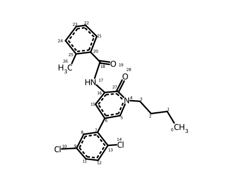 CCCCn1cc(-c2cc(Cl)ccc2Cl)cc(NC(=O)c2ccccc2C)c1=O